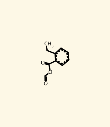 CCc1ccccc1C(=O)OC=O